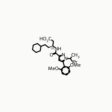 COc1cccc(OC)c1-c1cc(C(=O)N[C@@H](CCC2CCCCC2)CC(=O)O)nn1C(C)C(C)C